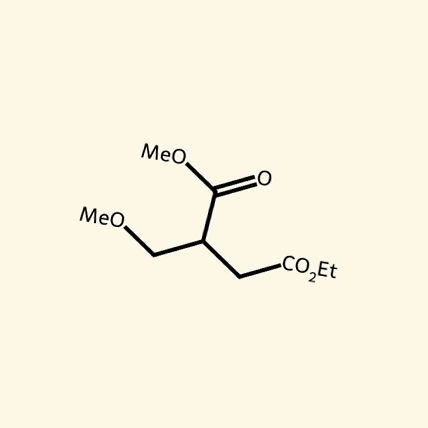 CCOC(=O)CC(COC)C(=O)OC